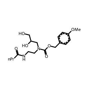 CCCC(=O)NCCN(CC(O)CO)C(=O)OCc1ccc(OC)cc1